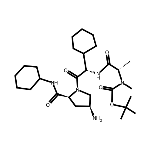 C[C@@H](C(=O)N[C@H](C(=O)N1C[C@@H](N)C[C@H]1C(=O)NC1CCCCC1)C1CCCCC1)N(C)C(=O)OC(C)(C)C